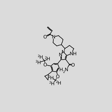 [2H]C([2H])([2H])Oc1cc(-c2nn3c(c2C(N)=O)NCCC3C2CCN(C(=O)C=C)CC2)cc(OC([2H])([2H])[2H])c1C1CC1